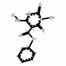 CCNc1[nH]c(=O)n(O)c(=O)c1C(=O)Oc1ccccc1